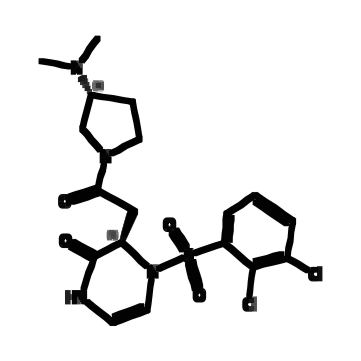 CN(C)[C@@H]1CCN(C(=O)C[C@@H]2C(=O)NC=CN2S(=O)(=O)c2cccc(Cl)c2Cl)C1